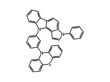 c1ccc(-n2ccc3c2ccc2c4ccccc4n(-c4cccc(N5c6ccccc6Sc6ccccc65)c4)c23)cc1